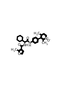 Cc1cc[n+]([O-])c(C)c1-c1ccc(NC(=O)[C@@H](NC(=O)c2ccoc2C)C2CCCCC2)cc1